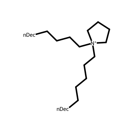 CCCCCCCCCCCCCCC[N+]1(CCCCCCCCCCCCCC)CCCC1